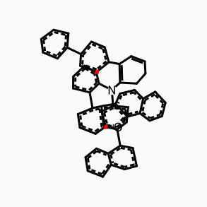 C1=CC(c2ccc(-c3ccccc3)cc2)=C(N(c2ccc(-c3cccc4ccccc34)cc2)c2ccccc2-c2cccc3oc4c5ccccc5ccc4c23)CC1